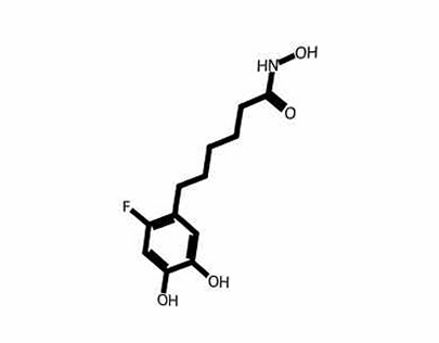 O=C(CCCCCc1cc(O)c(O)cc1F)NO